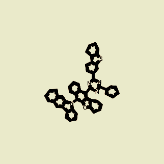 c1ccc(-c2nc(-c3ccc4c(c3)sc3ccccc34)nc(-c3c4ccccc4c(-n4c5ccccc5c5cc6ccccc6cc54)c4oc5ccccc5c34)n2)cc1